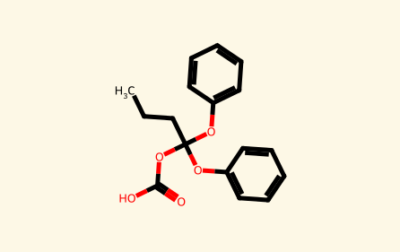 CCCC(OC(=O)O)(Oc1ccccc1)Oc1ccccc1